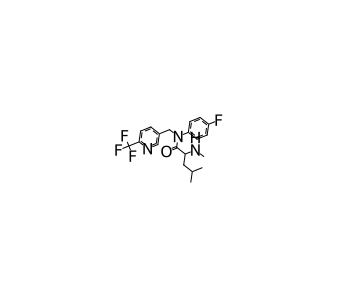 CNC(CC(C)C)C(=O)N(Cc1ccc(C(F)(F)F)nc1)c1ccc(F)cc1